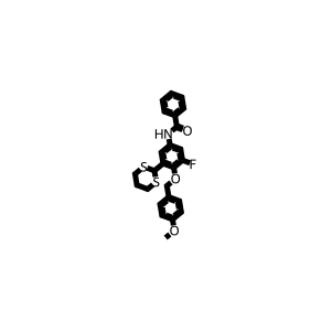 COc1ccc(COc2c(F)cc(NC(=O)c3ccccc3)cc2C2SCCCS2)cc1